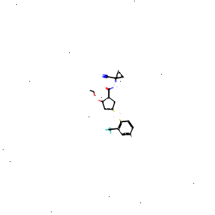 CCOC1CC(S(=O)(=O)c2ccc(Br)cc2C(F)(F)F)CC1C(=O)NC1(C#N)CC1